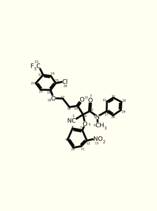 CN(C(=O)C(C#N)(Oc1ccccc1[N+](=O)[O-])C(=O)CCOc1ccc(C(F)(F)F)cc1Cl)c1ccccc1